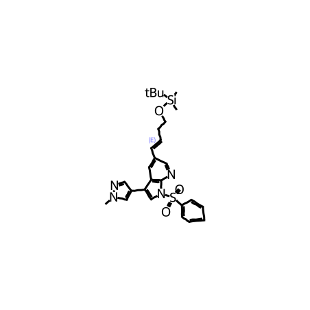 Cn1cc(-c2cn(S(=O)(=O)c3ccccc3)c3ncc(/C=C/CCO[Si](C)(C)C(C)(C)C)cc23)cn1